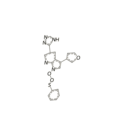 c1ccc(SOOn2cc(-c3ccoc3)c3cc(-c4nnc[nH]4)cnc32)cc1